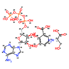 N[C@@H](CO)C(=O)O.Nc1ncnc2c1ncn2[C@@H]1O[C@H](COP(=O)(O)OP(=O)(O)OP(=O)(O)O)[C@@H](O)[C@H]1O.O=C(O)c1cccc(O)c1O